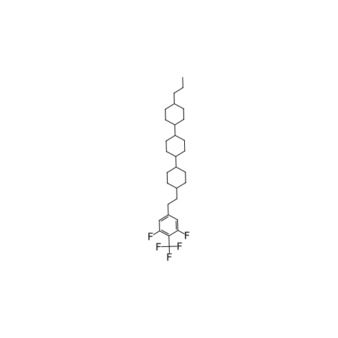 CCCC1CCC(C2CCC(C3CCC(CCc4cc(F)c(C(F)(F)F)c(F)c4)CC3)CC2)CC1